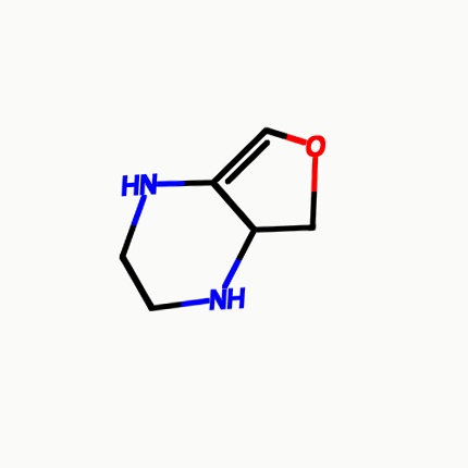 C1=C2NCCNC2CO1